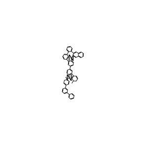 CC1CC=Cc2c1n(C1(C)C=CC(c3cccc(-c4ccccc4)c3)=CC1)c1ccc(-c3ccc4c(c3)c3cccc5c3n4-c3cc4ccccc4cc3-c3ccccc3-5)cc21